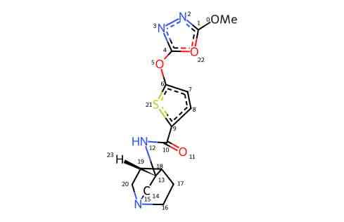 COc1nnc(Oc2ccc(C(=O)N[C@H]3CN4CCC3CC4)s2)o1